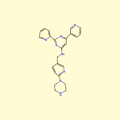 c1ccc(-c2nc(NCc3ccc(N4CCNCC4)nc3)cc(-c3cccnc3)n2)nc1